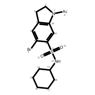 CC(=O)N1CCc2cc(Br)c(S(=O)(=O)NC3CCCCC3)cc21